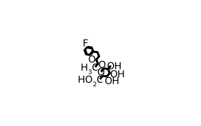 CC(OC1OC(C(=O)O)C(O)C(O)C1O)C1CCc2cc(F)ccc2O1